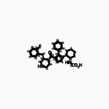 O=C(O)N[C@H]1CCCC[C@@H]1n1cnc(C(=O)N2CCNC[C@H]2Cc2ccccc2F)c1-c1ccccc1